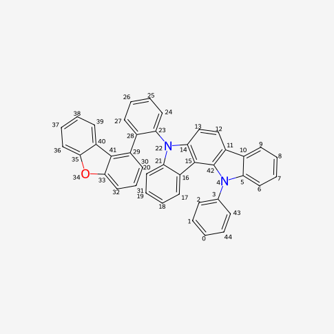 c1ccc(-n2c3ccccc3c3ccc4c(c5ccccc5n4-c4ccccc4-c4cccc5oc6ccccc6c45)c32)cc1